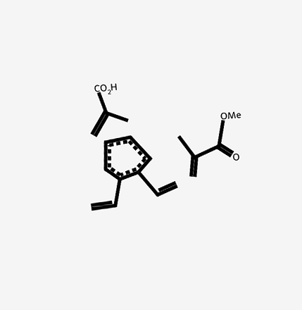 C=C(C)C(=O)O.C=C(C)C(=O)OC.C=Cc1ccccc1C=C